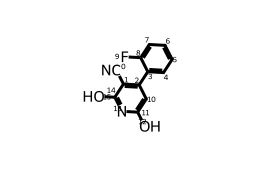 N#Cc1c(-c2ccccc2F)cc(O)nc1O